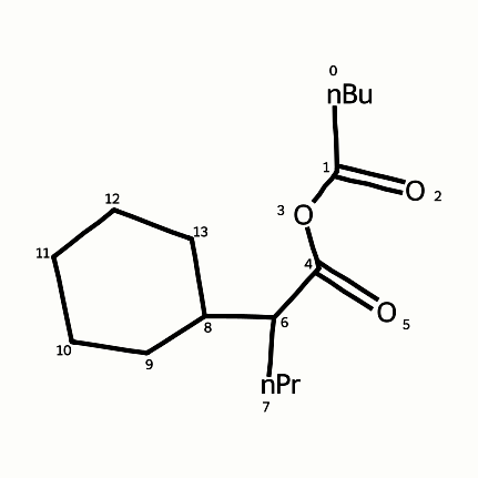 CCCCC(=O)OC(=O)C(CCC)C1CCCCC1